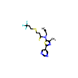 C#CCN(C(=S)CCSCCC(F)(F)F)c1sc(-c2cncnc2)nc1C